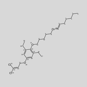 CCCCC/C=N/OCCCCCOc1c(CC)cc(OCC=C(Cl)Cl)cc1CC